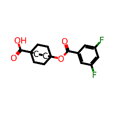 O=C(OC12CCC(C(=O)O)(CC1)CC2)c1cc(F)cc(F)c1